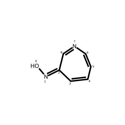 ON=c1ccccnc1